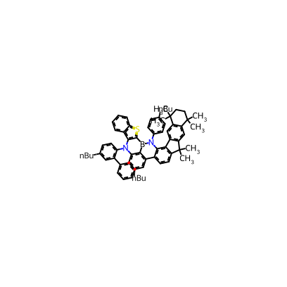 CCCCc1ccc(N2B3c4sc5ccccc5c4N(c4ccc(CCCC)cc4-c4ccccc4)c4cc(CCCC)cc(c43)-c3ccc4c(c32)-c2cc3c(cc2C4(C)C)C(C)(C)CCC3(C)C)cc1